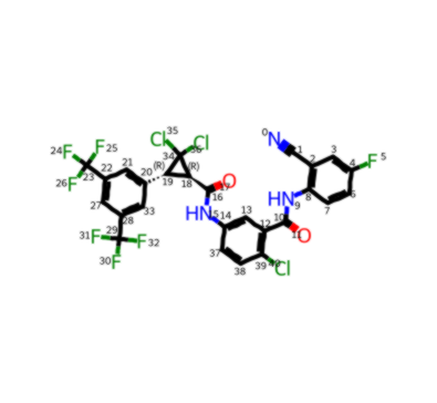 N#Cc1cc(F)ccc1NC(=O)c1cc(NC(=O)[C@H]2[C@H](c3cc(C(F)(F)F)cc(C(F)(F)F)c3)C2(Cl)Cl)ccc1Cl